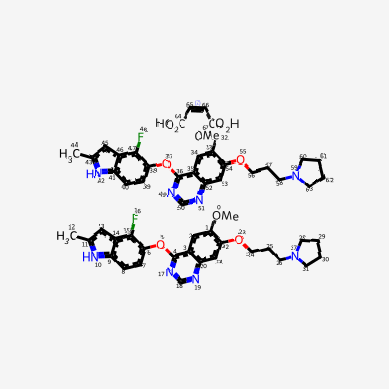 COc1cc2c(Oc3ccc4[nH]c(C)cc4c3F)ncnc2cc1OCCCN1CCCC1.COc1cc2c(Oc3ccc4[nH]c(C)cc4c3F)ncnc2cc1OCCCN1CCCC1.O=C(O)/C=C\C(=O)O